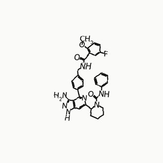 COc1ccc(F)cc1C(=O)NCc1ccc(-c2nc(C3CCCCN3C(=O)Nc3ccccc3)cc3[nH]nc(N)c23)cc1